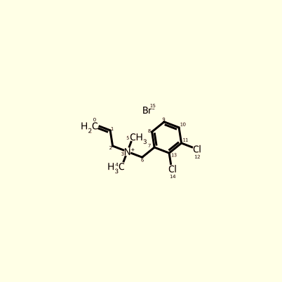 C=CC[N+](C)(C)Cc1cccc(Cl)c1Cl.[Br-]